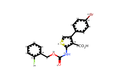 O=C(Nc1scc(-c2ccc(Br)cc2)c1C(=O)O)OCc1ccccc1F